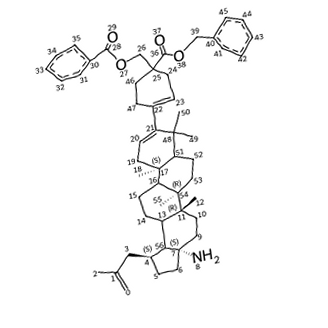 C=C(C)C[C@@H]1CC[C@]2(N)CC[C@]3(C)C(CCC4[C@@]5(C)CC=C(C6=CCC(COC(=O)c7ccccc7)(C(=O)OCc7ccccc7)CC6)C(C)(C)C5CC[C@]43C)C12